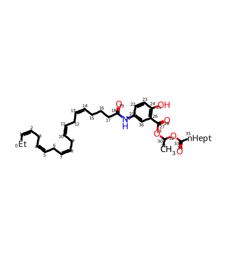 CC/C=C\C/C=C\C/C=C\C/C=C\C/C=C\CCCC(=O)Nc1ccc(O)c(C(=O)OC(C)OC(=O)CCCCCCC)c1